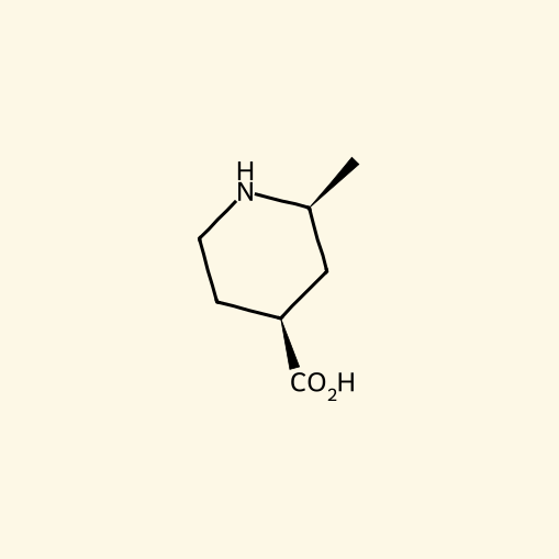 C[C@H]1C[C@@H](C(=O)O)CCN1